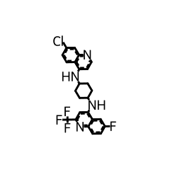 Fc1ccc2nc(C(F)(F)F)cc(NC3CCC(Nc4ccnc5cc(Cl)ccc45)CC3)c2c1